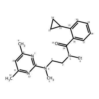 CCN(CCN(C)c1nc(C)cc(C)n1)C(=O)c1ccccc1C1CC1